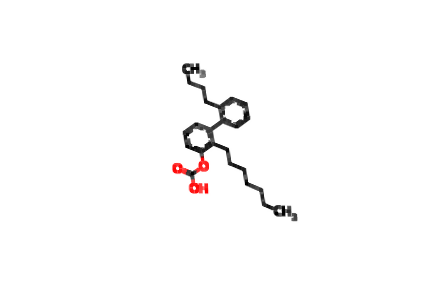 CCCCCCCc1c(OC(=O)O)cccc1-c1ccccc1CCCC